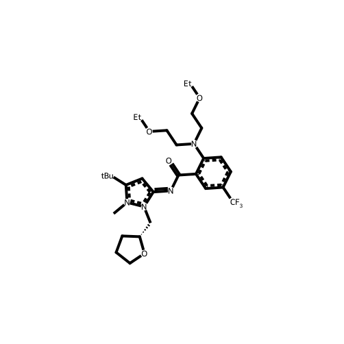 CCOCCN(CCOCC)c1ccc(C(F)(F)F)cc1C(=O)/N=c1\cc(C(C)(C)C)n(C)n1C[C@H]1CCCO1